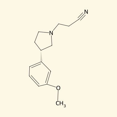 COc1cccc([C@@H]2CCN(CCC#N)C2)c1